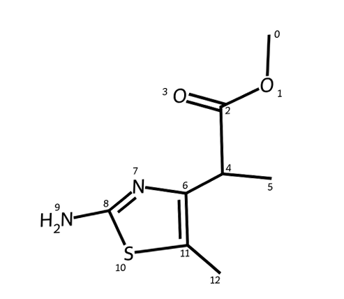 COC(=O)C(C)c1nc(N)sc1C